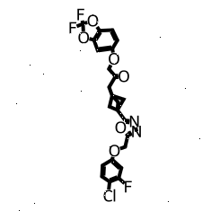 O=C(COc1ccc2c(c1)OC(F)(F)O2)CC12CC(c3nnc(COc4ccc(Cl)c(F)c4)o3)(C1)C2